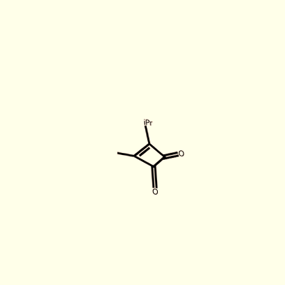 Cc1c(C(C)C)c(=O)c1=O